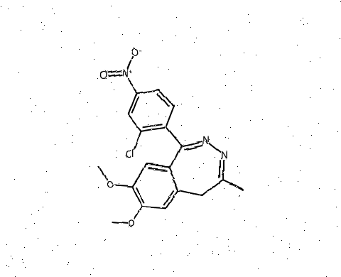 COc1cc2c(cc1OC)C(c1ccc([N+](=O)[O-])cc1Cl)=NN=C(C)C2